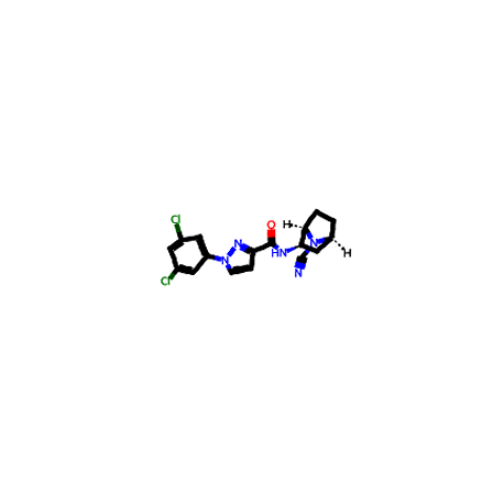 N#CN1[C@H]2CC[C@@H]1[C@H](NC(=O)c1ccn(-c3cc(Cl)cc(Cl)c3)n1)C2